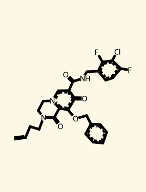 C=CCCN1CCn2cc(C(=O)NCc3ccc(F)c(Cl)c3F)c(=O)c(OCc3ccccc3)c2C1=O